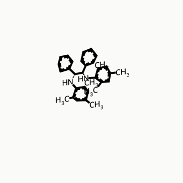 Cc1cc(C)c(N[C@H](c2ccccc2)[C@@H](Nc2c(C)cc(C)cc2C)c2ccccc2)c(C)c1